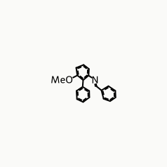 COc1cccc(N=Cc2ccccc2)c1-c1ccccc1